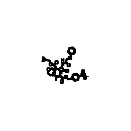 C/C(=C(\C(=O)OCc1ccc([N+](=O)[O-])cc1)N1C(=O)C(NC(=O)COc2ccccc2)C1SC(=O)OCC1CC1)N1CCOCC1